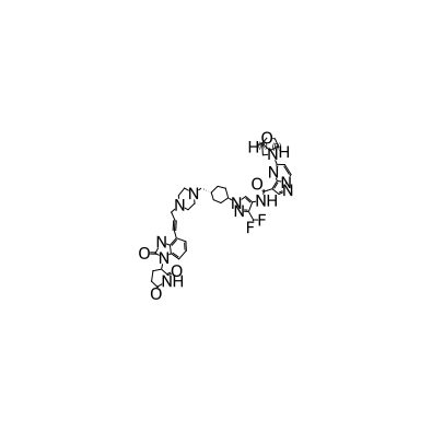 Cn1c(=O)n(C2CCC(=O)NC2=O)c2cccc(C#CCN3CCN(C[C@H]4CC[C@H](n5cc(NC(=O)c6cnn7ccc(N8C[C@H]9C[C@@H]8CO9)nc67)c(C(F)F)n5)CC4)CC3)c21